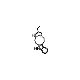 CCC1=C[C@H]2CCc3[nH]c4ccccc4c3CCN(C1)C2